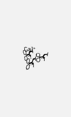 O=C([O-])C(I)CI.O=C([O-])C(I)CI.O=C([O-])C(I)CI.[Ga+3]